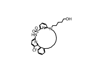 O=S1(=O)Nc2ccc(C(F)(F)F)c(n2)-c2ccccc2CCCCCCCN(CCCCCO)c2cccc1n2